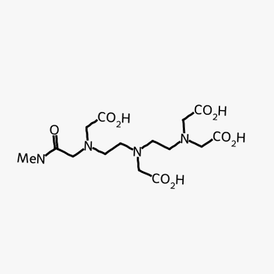 CNC(=O)CN(CCN(CCN(CC(=O)O)CC(=O)O)CC(=O)O)CC(=O)O